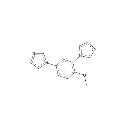 COc1ccc(-n2ccnc2)cc1-n1ccnc1